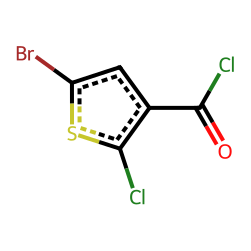 O=C(Cl)c1cc(Br)sc1Cl